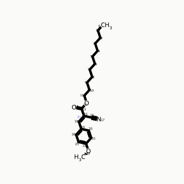 CCCCCCCCCCCCOC(=O)/C(C#N)=C/c1ccc(OC)cc1